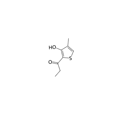 CCC(=O)c1scc(C)c1O